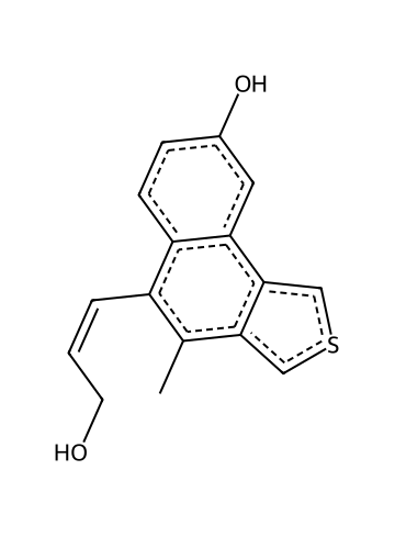 Cc1c(/C=C\CO)c2ccc(O)cc2c2cscc12